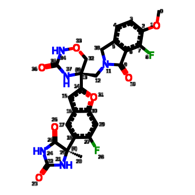 COc1ccc2c(c1F)C(=O)N(C[C@]1(c3cc4cc([C@@]5(C)NC(=O)NC5=O)c(F)cc4o3)CONC(=O)N1)C2